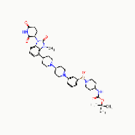 Cn1c(=O)n(C2CCC(=O)NC2=O)c2cccc(C3CCN(C4CCN(c5cccc([S+]([O-])N6CCC(NC(=O)OC(C)(C)C)CC6)c5)CC4)CC3)c21